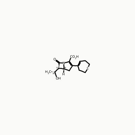 C[C@@H](O)[C@H]1C(=O)N2C(C(=O)O)=C(C3=CCCCCC3)C[C@H]12